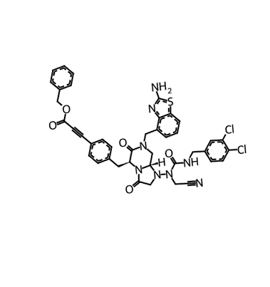 N#CCN(C(=O)NCc1ccc(Cl)c(Cl)c1)N1CC(=O)N2[C@@H](Cc3ccc(C#CC(=O)OCc4ccccc4)cc3)C(=O)N(Cc3cccc4sc(N)nc34)C[C@@H]21